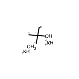 CC(C)(C)O.O.[KH].[KH]